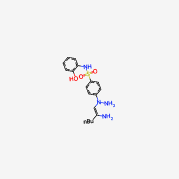 CCCC/C(N)=C/N(N)c1ccc(S(=O)(=O)Nc2ccccc2O)cc1